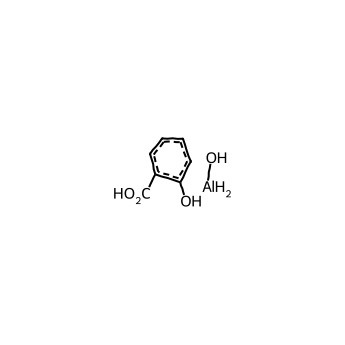 O=C(O)c1ccccc1O.[OH][AlH2]